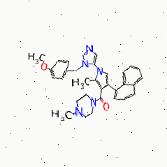 COc1ccc(Cn2cncc2-n2cc(-c3cccc4ccccc34)c(C(=O)N3CCN(C)CC3)c2C)cc1